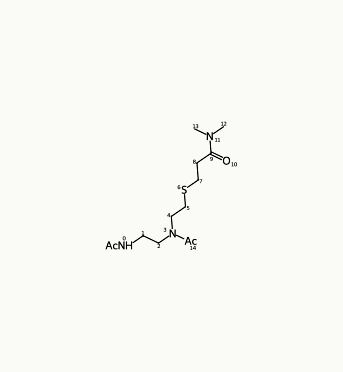 CC(=O)NCCN(CCSCCC(=O)N(C)C)C(C)=O